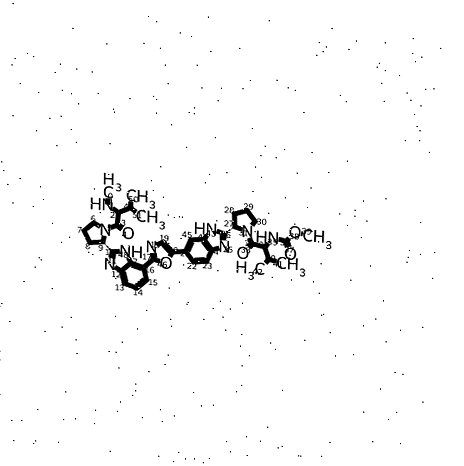 CNC(C(=O)N1CCC[C@H]1c1nc2cccc(-c3ncc(-c4ccc5nc([C@@H]6CCCN6C(=O)C(NC(=O)OC)C(C)C)[nH]c5c4)o3)c2[nH]1)C(C)C